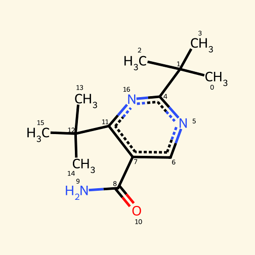 CC(C)(C)c1ncc(C(N)=O)c(C(C)(C)C)n1